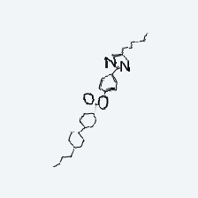 CCCCCc1cnc(-c2ccc(OC(=O)[C@H]3CC[C@H]([C@H]4CC[C@H](CCCC)CC4)CC3)cc2)nc1